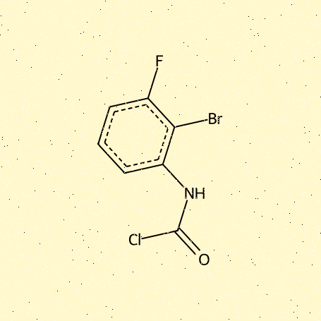 O=C(Cl)Nc1cccc(F)c1Br